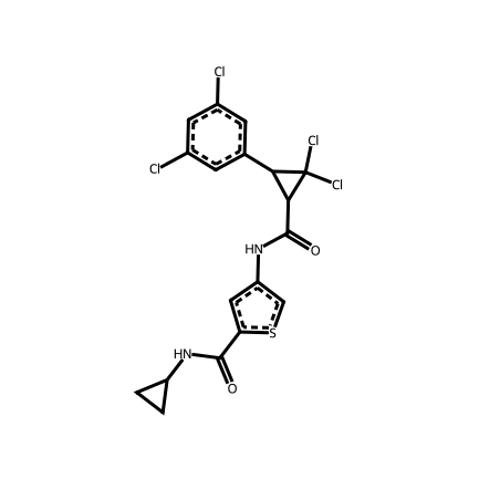 O=C(NC1CC1)c1cc(NC(=O)C2C(c3cc(Cl)cc(Cl)c3)C2(Cl)Cl)cs1